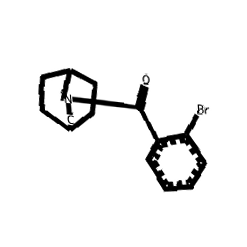 O=C(c1ccccc1Br)N1CC2CCC(CC2)C1